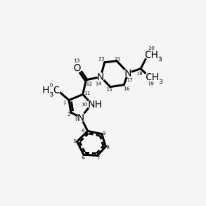 CC1=CN(c2ccccc2)NC1C(=O)N1CCN(C(C)C)CC1